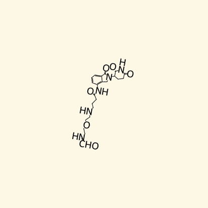 O=CNCCOCCNCCCC(=O)Nc1cccc2c1CN(C1CCC(=O)NC1=O)C2=O